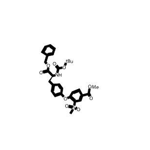 COC(=O)c1ccc(Oc2ccc(C[C@H](NC(=O)OC(C)(C)C)C(=O)OCc3ccccc3)cc2)c(S(C)(=O)=O)c1